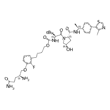 Cc1ncsc1-c1ccc([C@H](C)NC(=O)[C@@H]2C[C@@H](O)CN2C(=O)[C@@H](NC(=O)OCCCCc2cccc(OC[C@@H](N)CCC(N)=O)c2F)C(C)(C)C)cc1